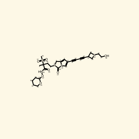 CC(CCN1Cc2cc(C#CC#CC3CN(CCO)C3)cn2C1=O)(C(=O)NOC1CCCCO1)S(C)(=O)=O